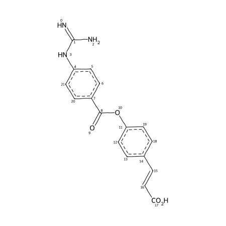 N=C(N)Nc1ccc(C(=O)Oc2ccc(C=CC(=O)O)cc2)cc1